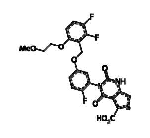 COCCOc1ccc(F)c(F)c1COc1ccc(F)c(-n2c(=O)[nH]c3csc(C(=O)O)c3c2=O)c1